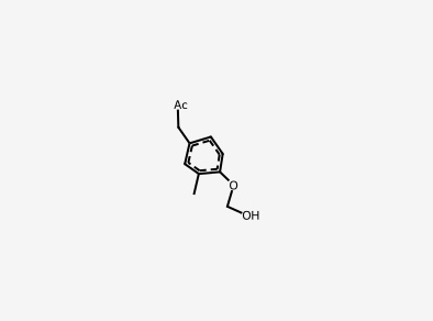 CC(=O)Cc1ccc(OCO)c(C)c1